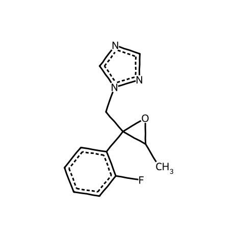 CC1OC1(Cn1cncn1)c1ccccc1F